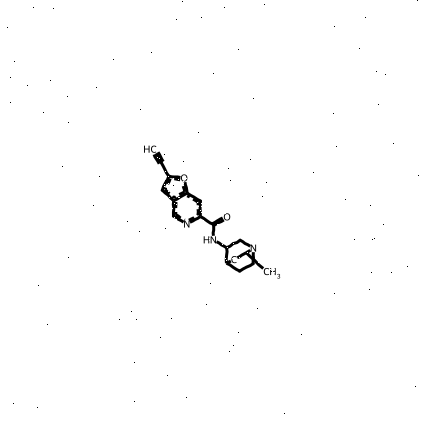 C#Cc1cc2cnc(C(=O)NC3CN4CCC3CC4C)cc2o1